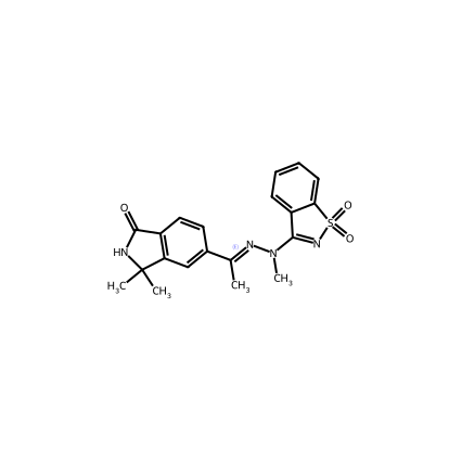 C/C(=N\N(C)C1=NS(=O)(=O)c2ccccc21)c1ccc2c(c1)C(C)(C)NC2=O